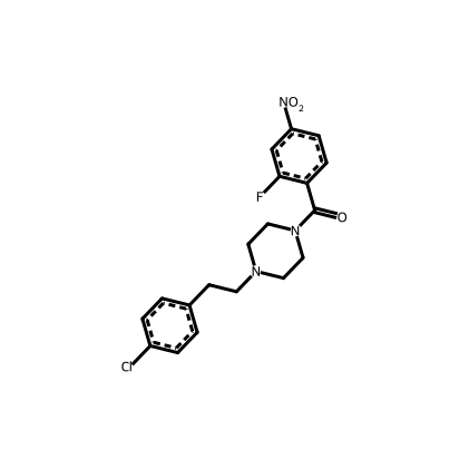 O=C(c1ccc([N+](=O)[O-])cc1F)N1CCN(CCc2ccc(Cl)cc2)CC1